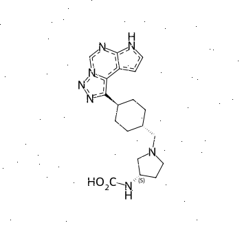 O=C(O)N[C@H]1CCN(C[C@H]2CC[C@H](c3nnn4cnc5[nH]ccc5c34)CC2)C1